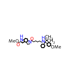 C=CC(=C)C(NCCCCCC(=O)N1CCc2c1ccc1[nH]c(C(=O)OC)cc21)(c1ccccc1)c1ccc(OC)cc1